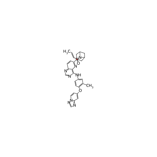 C/C=C/C(=O)N1C2CC1CN(c1ccc3ncnc(Nc4ccc(Oc5ccn6ncnc6c5)c(C)c4)c3n1)C2